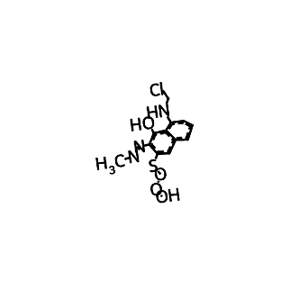 C/N=N/c1c(SOOO)cc2cccc(NCCl)c2c1O